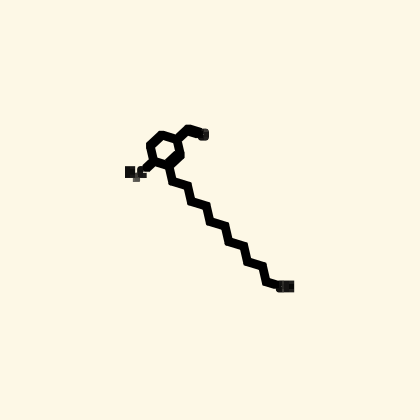 CC1CCC(C=O)C=C1CCCCCCCCCCCO